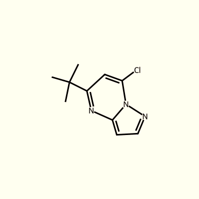 CC(C)(C)c1cc(Cl)n2nccc2n1